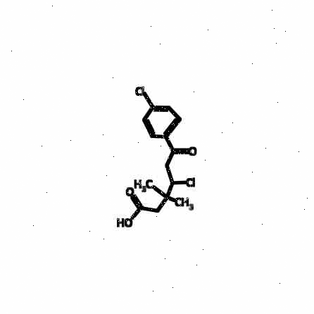 CC(C)(CC(=O)O)C(Cl)CC(=O)c1ccc(Cl)cc1